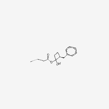 CCCC(=O)OC1(O)CC[C@H]1Cc1ccccc1